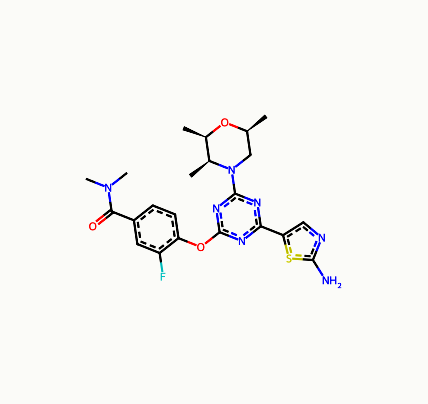 C[C@H]1CN(c2nc(Oc3ccc(C(=O)N(C)C)cc3F)nc(-c3cnc(N)s3)n2)[C@@H](C)[C@@H](C)O1